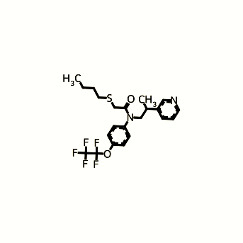 CCCCSCC(=O)N(CC(C)c1cccnc1)c1ccc(OC(F)(F)C(F)(F)F)cc1